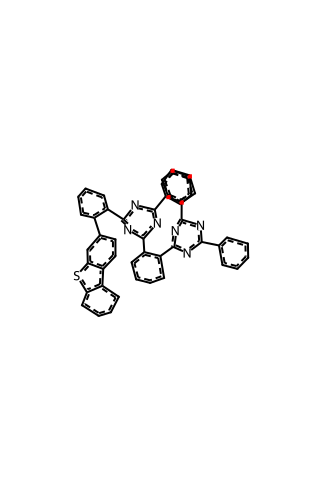 c1ccc(-c2nc(-c3ccccc3)nc(-c3ccccc3-c3nc(-c4ccccc4)nc(-c4ccccc4-c4ccc5c(c4)sc4ccccc45)n3)n2)cc1